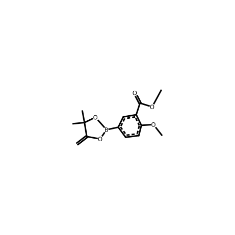 C=C1OB(c2ccc(OC)c(C(=O)OC)c2)OC1(C)C